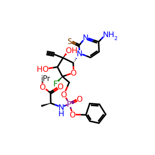 C#C[C@@]1(O)C(O)[C@@](F)(COP(=O)(N[C@@H](C)C(=O)OC(C)C)Oc2ccccc2)O[C@H]1n1ccc(N)nc1=S